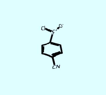 N#Cc1ccc([S+]([O-])Cl)cc1